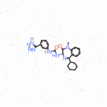 CN1C(=O)[C@H](NC(=O)Nc2cccc(-c3nnn[nH]3)c2)N=C(C2CCCCC2)c2ccccc21